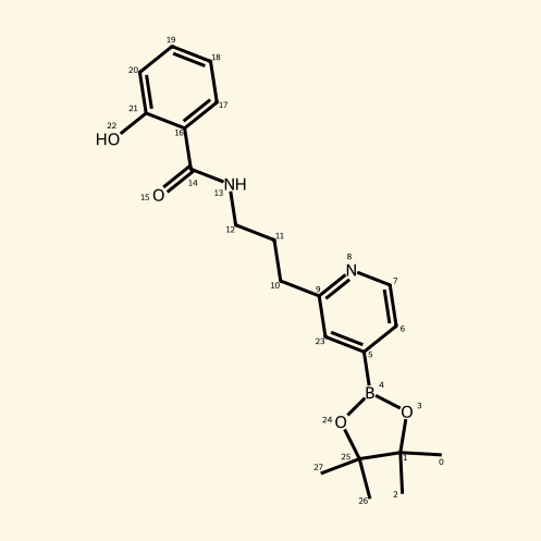 CC1(C)OB(c2ccnc(CCCNC(=O)c3ccccc3O)c2)OC1(C)C